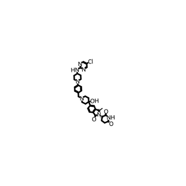 C[C@@H]1c2cc(C3(O)CCN(Cc4ccc(N5CCC(Nc6ncc(Cl)cn6)CC5)cc4)CC3)ccc2C(=O)N1[C@H]1CCC(=O)NC1=O